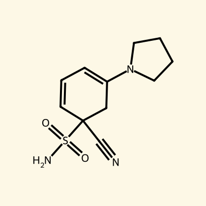 N#CC1(S(N)(=O)=O)C=CC=C(N2CCCC2)C1